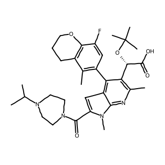 Cc1nc2c(cc(C(=O)N3CCN(C(C)C)CC3)n2C)c(-c2cc(F)c3c(c2C)CCCO3)c1[C@H](OC(C)(C)C)C(=O)O